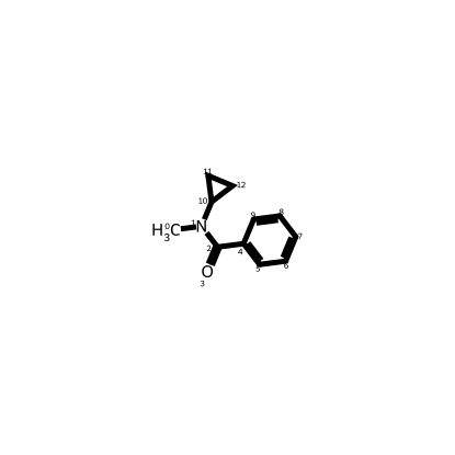 CN(C(=O)c1ccccc1)C1CC1